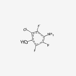 Nc1c(F)c(F)c(O)c(Cl)c1F